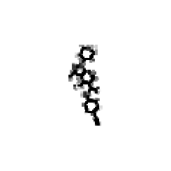 C#Cc1ccc(NC(=O)c2cnc3c(c(C)nn3C3CCNCC3)c2Cl)cc1